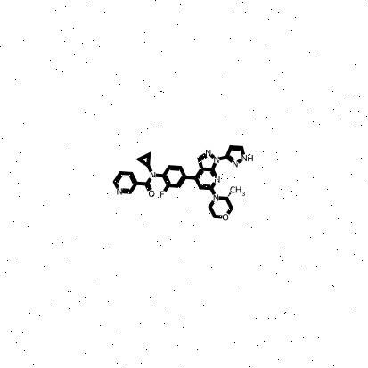 C[C@@H]1COCCN1c1cc(-c2ccc(N(C(=O)c3cccnc3)C3CC3)c(F)c2)c2cnn(-c3cc[nH]n3)c2n1